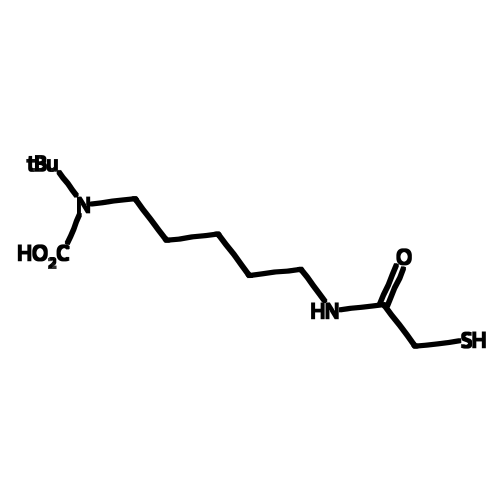 CC(C)(C)N(CCCCCNC(=O)CS)C(=O)O